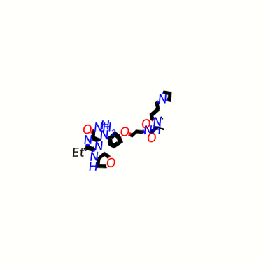 CCc1nc(C(N)=O)c(Nc2cccc(OCCCNC(=O)[C@H](C)N(C)C(=O)/C=C/CN3CCC3)c2)nc1NC1CCOCC1